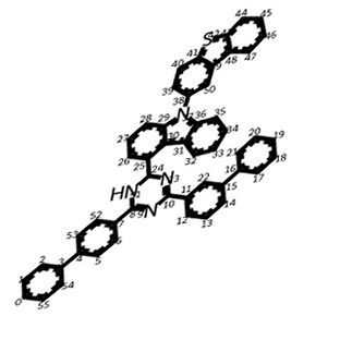 c1ccc(-c2ccc(C3=NC(c4cccc(-c5ccccc5)c4)=NC(c4cccc5c4c4ccccc4n5-c4ccc5sc6ccccc6c5c4)N3)cc2)cc1